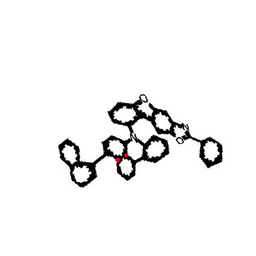 c1ccc(-c2nc3cc4oc5cccc(N(c6ccc(-c7cccc8ccccc78)cc6)c6ccccc6-c6ccccc6)c5c4cc3o2)cc1